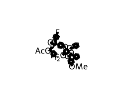 C=C1C[C@@H](Oc2ccc([C@@H]3[C@@H](CC[C@H](OC(C)=O)c4ccc(F)cc4)C(=O)N3c3ccc(F)cc3)cc2)[C@H](OCc2ccccc2)[C@H](OCc2ccccc2)[C@@H]1OCc1ccc(OC)cc1